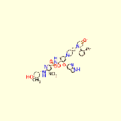 CC(C)c1ccccc1[C@@H]1C[S+]([O-])CCN1C1CC2(CCN(c3ccc(C(=O)NS(=O)(=O)c4cnc(NC[C@H]5CC[C@](C)(O)CC5)c([N+](=O)[O-])c4)c(Oc4cnc5[nH]ccc5c4)c3)CC2)C1